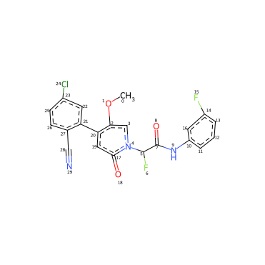 COc1cn(C(F)C(=O)Nc2cccc(F)c2)c(=O)cc1-c1cc(Cl)ccc1C#N